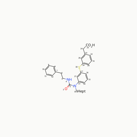 CCCCCCCN(C(=O)NCCc1ccccc1)c1cccc(Sc2cccc(CC(=O)O)c2)c1